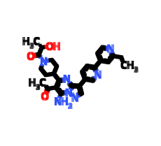 CCc1cc(-c2ccc(-c3cnn4c(N)c(C(C)=O)c(C5CCN(C(=O)[C@@H](C)O)CC5)nc34)cn2)ccn1